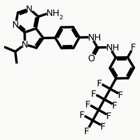 CC(C)n1cc(-c2ccc(NC(=O)Nc3cc(C(F)(F)C(F)(F)C(F)(F)C(F)(F)F)ccc3F)cc2)c2c(N)ncnc21